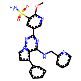 COc1ncc(-c2nc(NCc3ccccn3)c3c(-c4ccccc4)ccn3n2)cc1S(N)(=O)=O